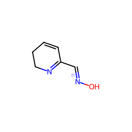 O/N=C/C1=NCCC=C1